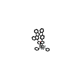 N#Cc1ccc(-c2cc3c(c4ccccc24)-c2ccccc2C32c3ccccc3-c3ccc(-c4ccc(-c5nc(-c6ccccc6)nc(-c6ccccc6)n5)cc4)cc32)cc1